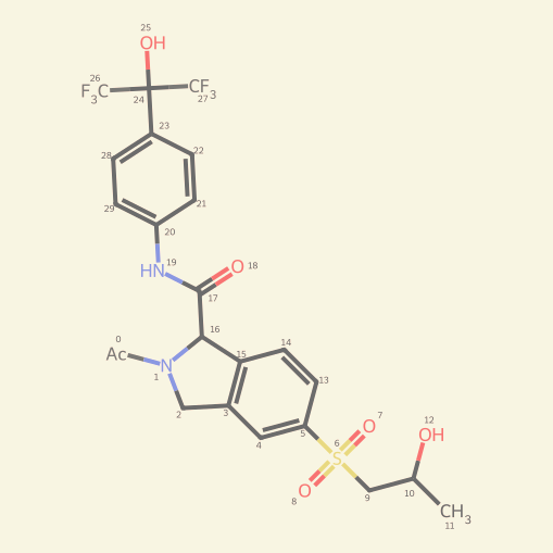 CC(=O)N1Cc2cc(S(=O)(=O)CC(C)O)ccc2C1C(=O)Nc1ccc(C(O)(C(F)(F)F)C(F)(F)F)cc1